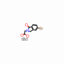 CC(C)(C)OC(=O)CN1Cc2cc(Br)ccc2C1=O